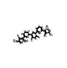 CCc1n[nH]c(-c2cccc(-c3cc(-c4cccc(-c5[nH]nc(CC)c5C)n4)c(C)cc3C)n2)c1C